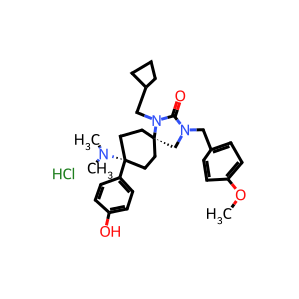 COc1ccc(CN2C[C@]3(CC[C@@](c4ccc(O)cc4)(N(C)C)CC3)N(CC3CCC3)C2=O)cc1.Cl